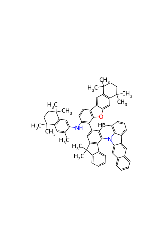 Cc1cc2c(cc1Nc1ccc3c(oc4cc5c(cc43)C(C)(C)CCC5(C)C)c1-c1cc3c(c4c1Bc1cccc5c6cc7ccccc7cc6n-4c15)-c1ccccc1C3(C)C)C(C)(C)CCC2(C)C